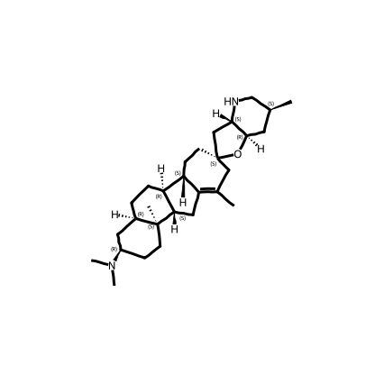 CC1=C2C[C@H]3[C@@H](CC[C@@H]4C[C@H](N(C)C)CC[C@@]43C)[C@@H]2CC[C@]2(C1)C[C@@H]1NC[C@@H](C)C[C@H]1O2